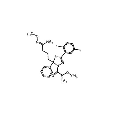 CO/N=C(\N)CCCC1(c2ccccc2)SC(c2cc(F)ccc2F)=NN1C(=O)N(C)OC